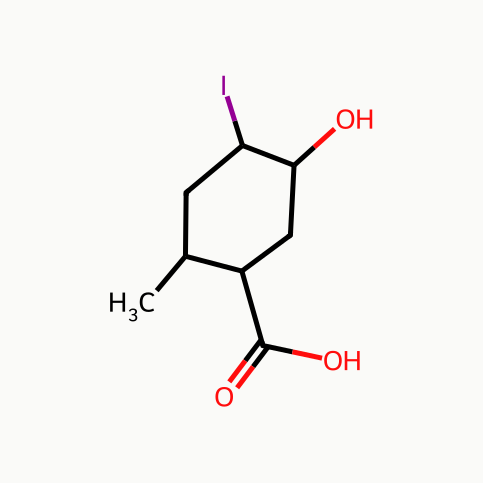 CC1CC(I)C(O)CC1C(=O)O